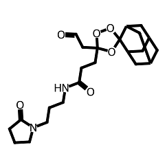 O=CCC1(CCC(=O)NCCCN2CCCC2=O)OOC2(O1)C1CC3CC(C1)CC2C3